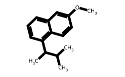 COc1ccc2c(C(C)C(C)C)cccc2c1